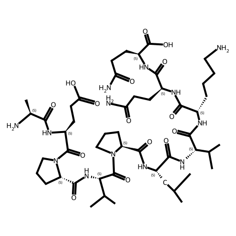 CC(C)C[C@H](NC(=O)[C@@H]1CCCN1C(=O)[C@@H](NC(=O)[C@@H]1CCCN1C(=O)[C@H](CCC(=O)O)NC(=O)[C@H](C)N)C(C)C)C(=O)N[C@H](C(=O)N[C@@H](CCCCN)C(=O)N[C@@H](CCC(N)=O)C(=O)N[C@@H](CCC(N)=O)C(=O)O)C(C)C